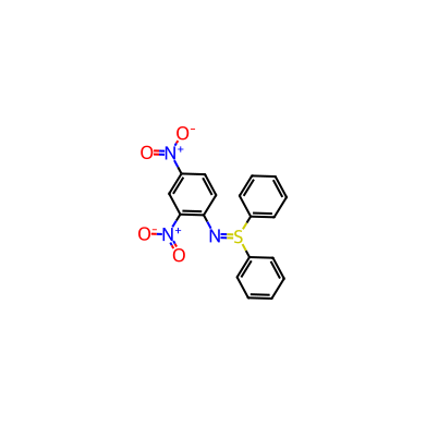 O=[N+]([O-])c1ccc(N=S(c2ccccc2)c2ccccc2)c([N+](=O)[O-])c1